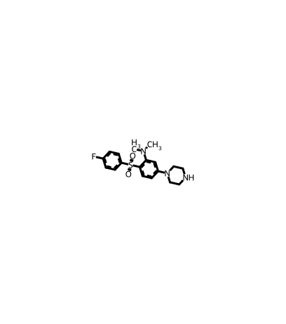 CN(C)c1cc(N2CCNCC2)ccc1S(=O)(=O)c1ccc(F)cc1